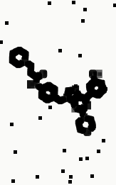 O=C(CCN1CCCCC1)Nc1ccc(Cn2cnc3c(-c4cccc(O)c4)nc(N4CCOCC4)nc32)cc1